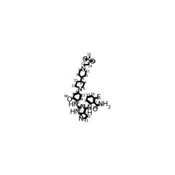 COc1cc(N2CCC(C3CCN(CCS(C)(=O)=O)CC3)CC2)ccc1Nc1nc(Nc2cccc(F)c2C(N)=O)c2ccnc-2[nH]1